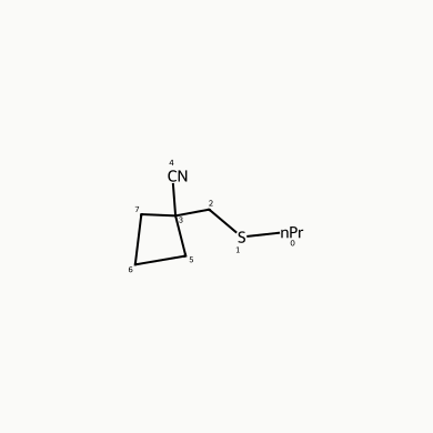 CCCSCC1(C#N)CCC1